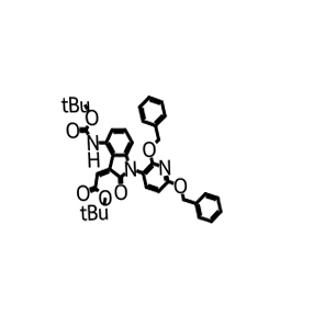 CC(C)(C)OC(=O)C=C1C(=O)N(c2ccc(OCc3ccccc3)nc2OCc2ccccc2)c2cccc(NC(=O)OC(C)(C)C)c21